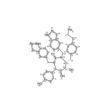 O=C1N(Cc2ccc3[nH]ncc3c2)C(c2ccc(O)cc2)[C@H](O)[C@@H](O)[C@@H](Cc2ccc(OCP)cc2)N1Cc1ccc2[nH]ncc2c1